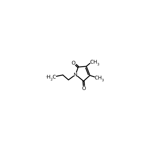 [CH2]CCN1C(=O)C(C)=C(C)C1=O